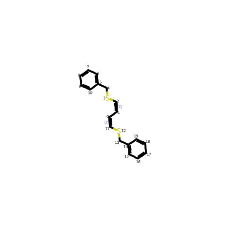 C(/C=C\SCc1ccccc1)=C/SCc1ccccc1